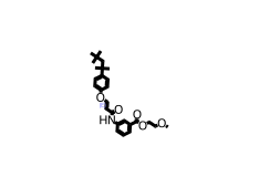 COCCOC(=O)c1cccc(NC(=O)/C=C/Oc2ccc(C(C)(C)CC(C)(C)C)cc2)c1